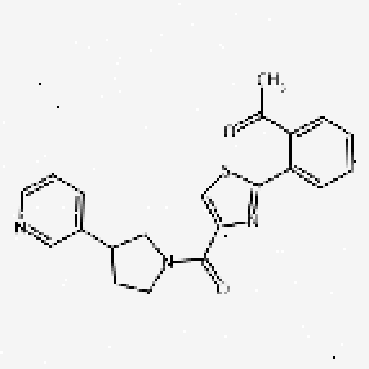 CC(=O)c1ccccc1-c1nc(C(=O)N2CCC(c3cccnc3)C2)cs1